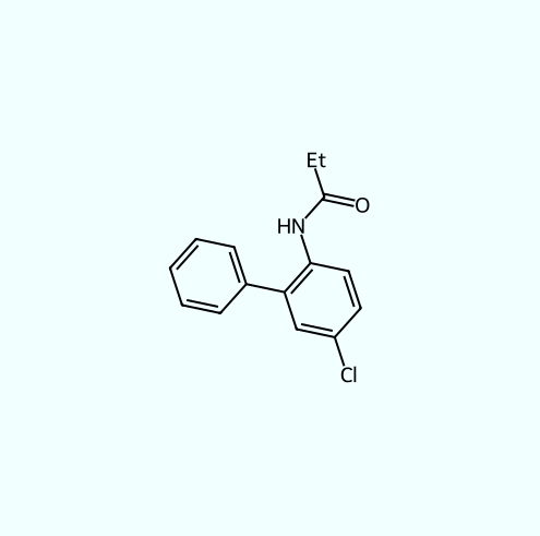 CCC(=O)Nc1ccc(Cl)cc1-c1ccccc1